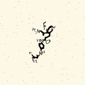 CCC(F)CCNc1ccc(NC(=O)/C=C/c2cncc(F)c2/C(C)=C/N)cc1